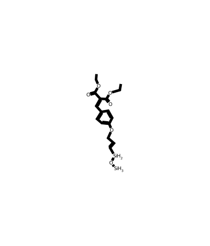 CCOC(=O)C(=Cc1ccc(OCC=C[SiH2]O[SiH3])cc1)C(=O)OCC